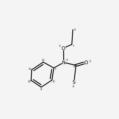 CCON(C(=O)[S])c1ccccc1